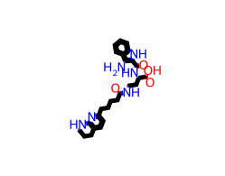 Nc1c(C(=O)NC(CCNC(=O)CCCCc2ccc3c(n2)NCCC3)C(=O)O)[nH]c2ccccc12